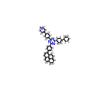 c1ccc(-c2ccc(-c3nc(-c4ccc(-c5ccncc5)cc4)nc(-c4ccc(-c5ccc6ccc7cccc8ccc5c6c78)cc4)n3)cc2)cc1